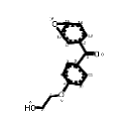 O=C(c1ccc(OCCO)cc1)c1ccc2c(c1)O2